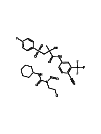 CC(O)(CS(=O)(=O)c1ccc(F)cc1)C(=O)Nc1ccc(C#N)c(C(F)(F)F)c1.O=NN(CCCl)C(=O)NC1CCCCC1